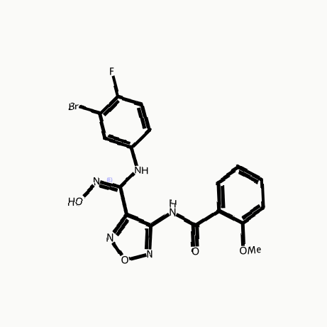 COc1ccccc1C(=O)Nc1nonc1/C(=N\O)Nc1ccc(F)c(Br)c1